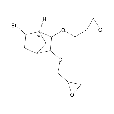 CCC1CC2C[C@@H]1C(OCC1CO1)C2OCC1CO1